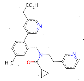 Cc1ccc(-c2cncc(CC(=O)O)c2)c(CN(CCc2cccnc2)C(=O)C2CC2)c1